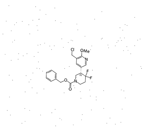 COc1ncc([C@H]2CN(C(=O)OCc3ccccc3)CCC2(F)F)cc1CCl